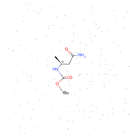 C[C@@H](CC(N)=O)NC(=O)OC(C)(C)C